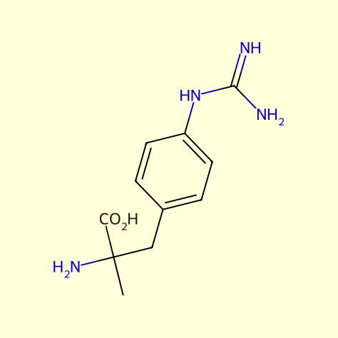 CC(N)(Cc1ccc(NC(=N)N)cc1)C(=O)O